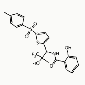 Cc1ccc(S(=O)(=O)c2ccc(C(NC(=O)c3ccccc3O)C(C)(O)C(F)(F)F)s2)cc1